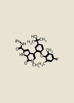 Cc1cc(F)cc(C)c1Oc1ccc(C(C)(C)O)cc1C1=CN(C)C(=O)C2NC(C(=O)NC(C)C)=CC12